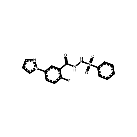 O=C(NNS(=O)(=O)c1ccccc1)c1cc(-n2cccn2)ccc1F